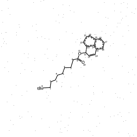 CC(C)(C)CCCCCCCCC(=O)OC1C=Cc2cccc3cccc1c23